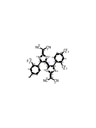 Cc1ccc(-c2nc(=C(C#N)C#N)o/c2=c2/oc(=C(C#N)C#N)nc2-c2ccc(C(F)(F)F)cc2C(F)(F)F)c(C(F)(F)F)c1